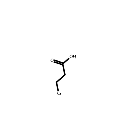 O=C(O)C[CH2][Cr]